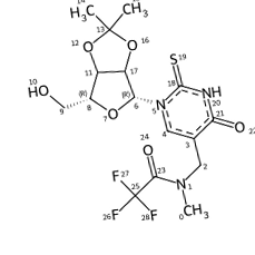 CN(Cc1cn([C@@H]2O[C@H](CO)C3OC(C)(C)OC32)c(=S)[nH]c1=O)C(=O)C(F)(F)F